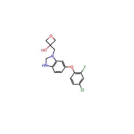 OC1(CN2CNc3ccc(Oc4ccc(Cl)cc4F)cc32)COC1